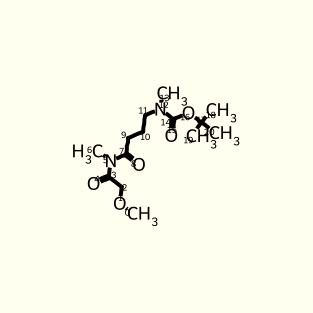 COCC(=O)N(C)C(=O)CCCN(C)C(=O)OC(C)(C)C